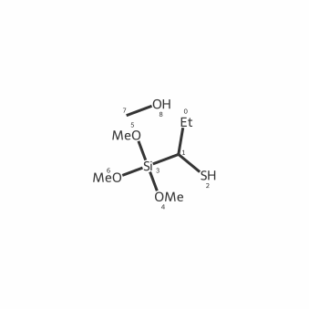 CCC(S)[Si](OC)(OC)OC.CO